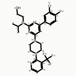 CC(C)N(CCO)c1nc(-c2ccc(F)c(Cl)c2)cc(N2CCN(c3ncccc3C(F)(F)F)CC2)n1